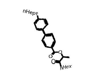 CCCCCCCc1ccc(-c2ccc(C(=O)OC(C)C(=O)CCCCCC)cc2)cc1